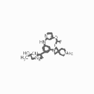 CC(=O)N1CCC2(CC1)CN(c1cc(Nc3cc(OC(F)F)ccn3)cc(-c3cnn(CC(C)(C)O)c3)c1)C2